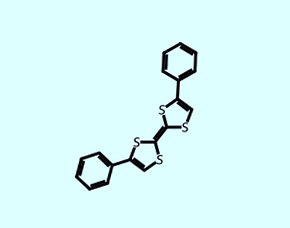 C1=C(c2ccccc2)SC(=C2SC=C(c3ccccc3)S2)S1